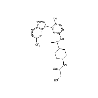 C[C@@H](Nc1ncc(C#N)c(-c2c[nH]c3ncc(C(F)(F)F)cc23)n1)[C@H]1CC[C@@H](NC(=O)CO)CC1